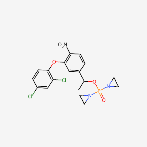 CC(OP(=O)(N1CC1)N1CC1)c1ccc([N+](=O)[O-])c(Oc2ccc(Cl)cc2Cl)c1